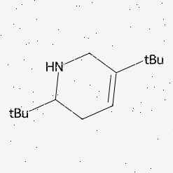 CC(C)(C)C1=CCC(C(C)(C)C)NC1